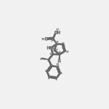 C[C@H](c1ccccc1)C1N[C@]2(C(=O)O)C=C[C@H]1C2